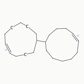 C1=C\CCCC(C2CCC/C=C\CCCCC2)CCCCC/1